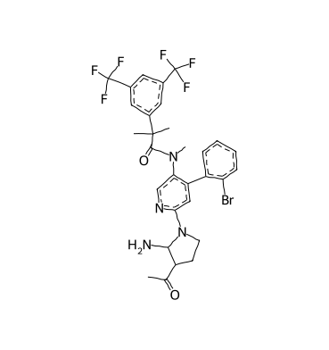 CC(=O)C1CCN(c2cc(-c3ccccc3Br)c(N(C)C(=O)C(C)(C)c3cc(C(F)(F)F)cc(C(F)(F)F)c3)cn2)C1N